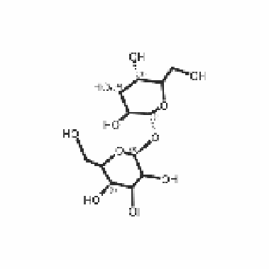 OCC1O[C@@H](O[C@H]2OC(CO)[C@@H](O)[C@@H](O)C2O)C(O)C(O)[C@H]1O